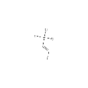 ClC=CC(Cl)(Cl)Cl